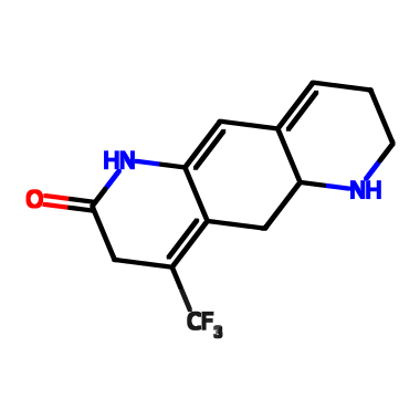 O=C1CC(C(F)(F)F)=C2CC3NCCC=C3C=C2N1